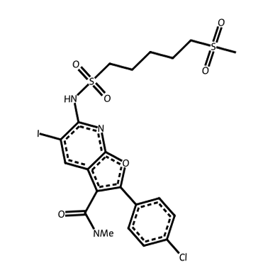 CNC(=O)c1c(-c2ccc(Cl)cc2)oc2nc(NS(=O)(=O)CCCCCS(C)(=O)=O)c(I)cc12